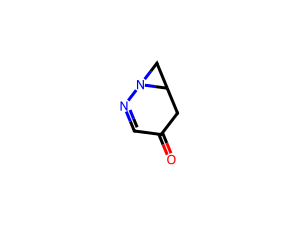 O=C1C=NN2CC2C1